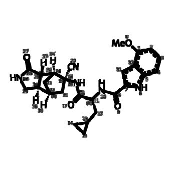 COc1cccc2[nH]c(C(=O)N[C@@H](CC3CC3)C(=O)N[C@@]3(C#N)C[C@@H]4C[C@H]3[C@H]3C(=O)NC[C@H]43)cc12